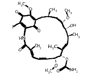 COC1=C2C[C@@H](C)C[C@H](OC)[C@H](O)[C@@H](C)/C=C(\C)[C@H](OC(N)=O)[C@H](OC)/C=C\C=C(/C)C(=O)NC(=C(I)C1=O)C2=O